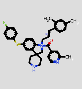 Cc1ccc(/C=C/C[N+]2(C(=O)c3ccnc(C)c3)CC3(CCNCC3)c3cc(Sc4ccc(F)cc4)ccc32)c(C)c1